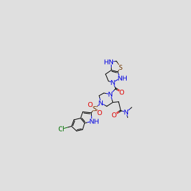 CN(C)C(=O)CC1CN(S(=O)(=O)c2cc3cc(Cl)ccc3[nH]2)CCN1C(=O)N1CCC2=C(N1)SCN2